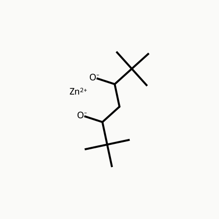 CC(C)(C)C([O-])CC([O-])C(C)(C)C.[Zn+2]